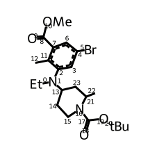 CCN(c1cc(Br)cc(C(=O)OC)c1C)C1CCN(C(=O)OC(C)(C)C)C(C)C1